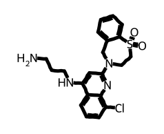 NCCCNc1cc(N2CCS(=O)(=O)c3ccccc3C2)nc2c(Cl)cccc12